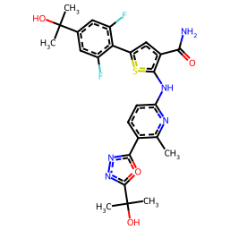 Cc1nc(Nc2sc(-c3c(F)cc(C(C)(C)O)cc3F)cc2C(N)=O)ccc1-c1nnc(C(C)(C)O)o1